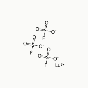 O=S(=O)([O-])F.O=S(=O)([O-])F.O=S(=O)([O-])F.[Lu+3]